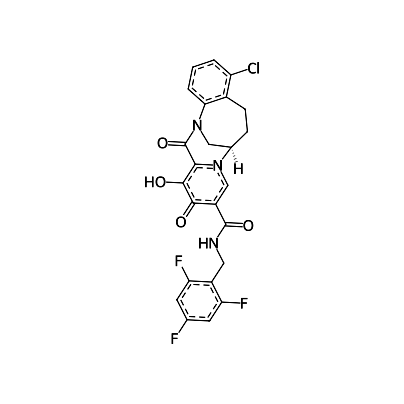 O=C(NCc1c(F)cc(F)cc1F)c1cn2c(c(O)c1=O)C(=O)N1C[C@H]2CCc2c(Cl)cccc21